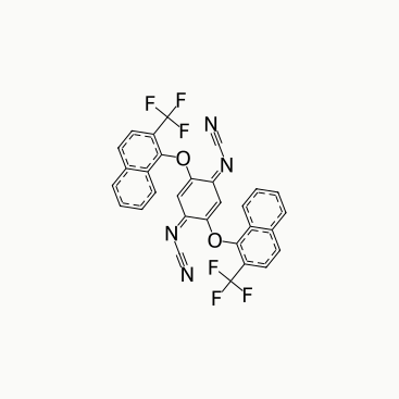 N#C/N=C1C=C(Oc2c(C(F)(F)F)ccc3ccccc23)/C(=N\C#N)C=C/1Oc1c(C(F)(F)F)ccc2ccccc12